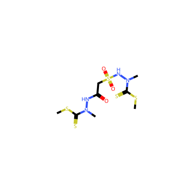 CSC(=S)N(C)NC(=O)CS(=O)(=O)NN(C)C(=S)SC